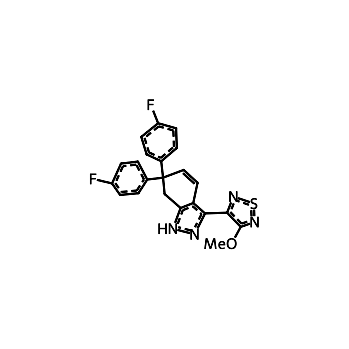 COc1nsnc1-c1n[nH]c2c1C=CC(c1ccc(F)cc1)(c1ccc(F)cc1)C2